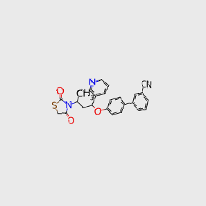 CC(CC(Oc1ccc(-c2cccc(C#N)c2)cc1)c1cccnc1)N1C(=O)CSC1=O